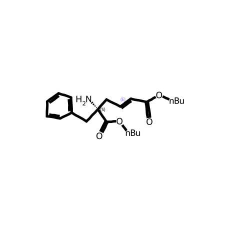 CCCCOC(=O)/C=C/C[C@](N)(Cc1ccccc1)C(=O)OCCCC